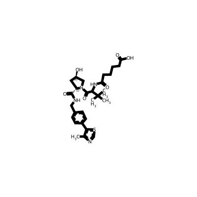 Cc1ncsc1-c1ccc(CNC(=O)[C@@H]2C[C@@H](O)CN2C(=O)C(NC(=O)CCCCC(=O)O)C(C)(C)C)cc1